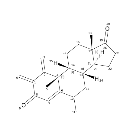 C=C1C(=C)[C@@]2(C)C(=CC1=O)C(C)C[C@@H]1[C@H]2CC[C@]2(C)C(=O)CC[C@@H]12